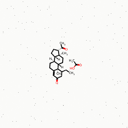 CC(=O)O.CCC1CC(=O)C=C2CC[C@H]3[C@@H]4CC[C@H](C(C)=O)[C@@]4(C)CC[C@@H]3[C@]21C